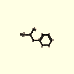 CC(S)Cc1cc[c]cc1